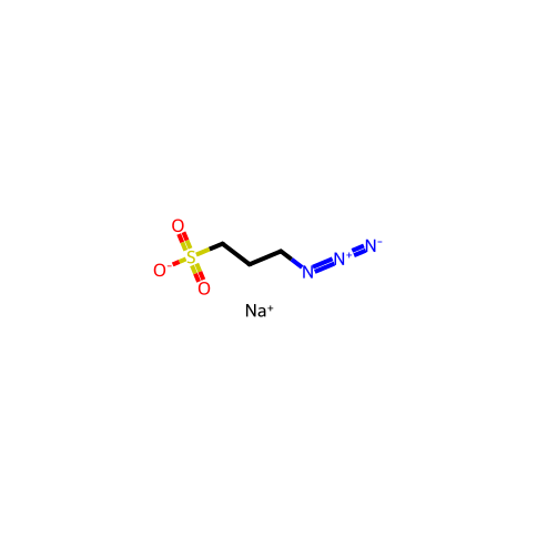 [N-]=[N+]=NCCCS(=O)(=O)[O-].[Na+]